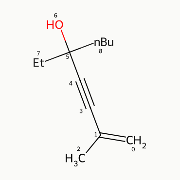 C=C(C)C#CC(O)(CC)CCCC